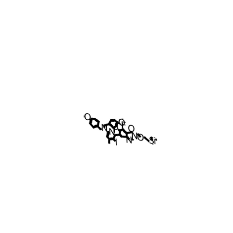 COc1ccc(CN(Cc2ccc(OC)cc2)c2cc(C)c(I)c(C3=CC4=NCN(COCC[Si](C)(C)C)C(=O)C4=C(F)C3(F)Cl)n2)cc1